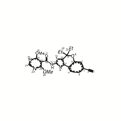 C#Cc1ccc2c(c1)OC(CC)(CC)c1sc(NC(=O)c3c(OC)ncnc3OC)nc1-2